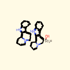 C1=CC2=c3[nH]c4ccccc4c3=CCN2C=C1.C1=CC2=c3[nH]c4ccccc4c3=CCN2C=C1.O=S(=O)(O)O